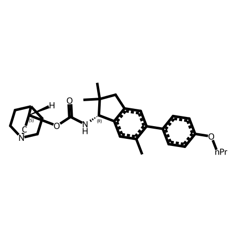 CCCOc1ccc(-c2cc3c(cc2C)[C@H](NC(=O)O[C@@H]2CN4CCC2CC4)C(C)(C)C3)cc1